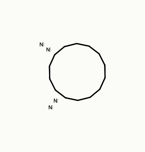 C1CCCCCCCCCCCCC1.[N].[N].[N].[N]